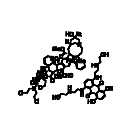 CC[C@]1(O)C[C@H]2CN(CCc3c([nH]c4ccccc34)[C@@](C(=O)OC)(c3cc4c(cc3OC)N(C=O)[C@H]3[C@@](O)(C(=O)OC)[C@H](OC(C)=O)[C@]5(CC)C=CCN6CC[C@]43[C@@H]65)C2)C1.O=C1c2c(O)ccc(O)c2C(=O)c2c(NCCNCCO)ccc(NCCNCCO)c21.O=P1(N(CCCl)CCCl)NCCCO1